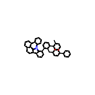 Cc1ccccc1-c1cccc(-c2cccc3c4ccc5cccc6c7ccccc7n(c23)c4c56)c1Cc1ccc(-c2ccccc2)cc1